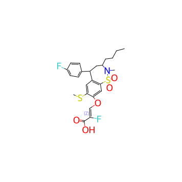 CCCCC1CC(c2ccc(F)cc2)c2cc(SC)c(O/C=C(\F)C(=O)O)cc2S(=O)(=O)N1C